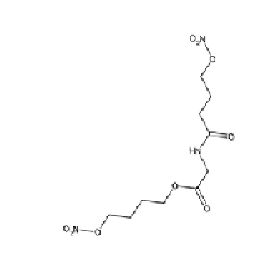 O=C(CCCO[N+](=O)[O-])NCC(=O)OCCCCO[N+](=O)[O-]